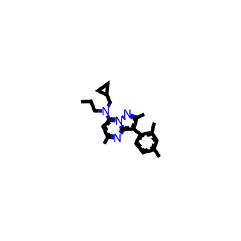 CCCN(CC1CC1)c1cc(C)nc2c(-c3ccc(C)cc3C)c(C)nn12